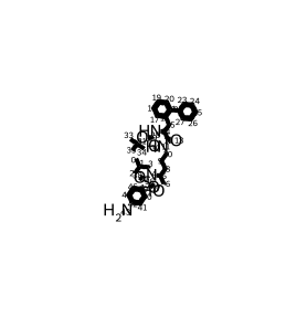 CC(C)CN(C(CO)CCCNC(=O)C(Cc1ccccc1-c1ccccc1)NC(=O)OC(C)(C)C)S(=O)(=O)c1ccc(N)cc1